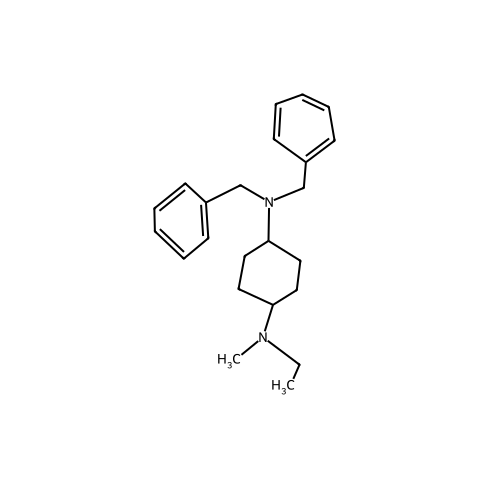 CCN(C)C1CCC(N(Cc2ccccc2)Cc2ccccc2)CC1